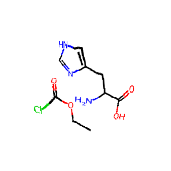 CCOC(=O)Cl.NC(Cc1c[nH]cn1)C(=O)O